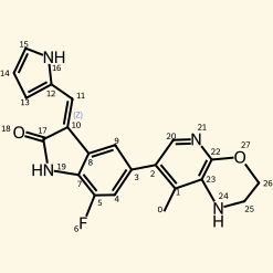 Cc1c(-c2cc(F)c3c(c2)/C(=C/c2ccc[nH]2)C(=O)N3)cnc2c1NCCO2